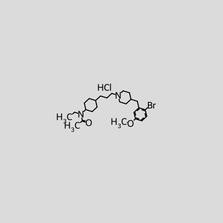 CCN(C(C)=O)C1CCC(CCCN2CCC(Cc3cc(OC)ccc3Br)CC2)CC1.Cl